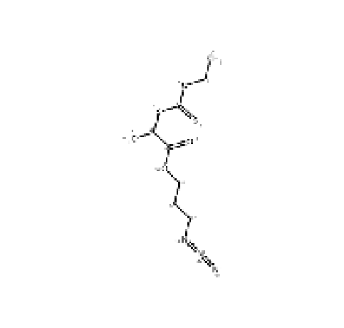 CCOC(=S)SC(C)C(=O)OCCCN=[N+]=[N-]